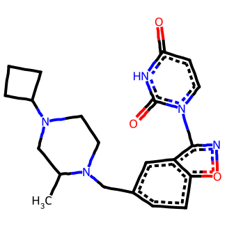 CC1CN(C2CCC2)CCN1Cc1ccc2onc(-n3ccc(=O)[nH]c3=O)c2c1